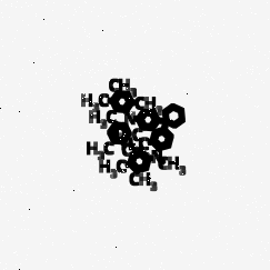 Cc1ccc(N(C)c2ccc(C3(c4ccc(N(c5cc(C)c(C)cc5C)c5cc(C)c(C)cc5C)c(C)c4)CCCCC3)cc2C)cc1C